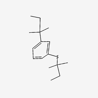 CCC(C)(C)Sc1cccc(C(C)(C)CC)c1